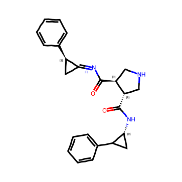 O=C(/N=C1\C[C@H]1c1ccccc1)[C@H]1CNC[C@@H]1C(=O)N[C@@H]1CC1c1ccccc1